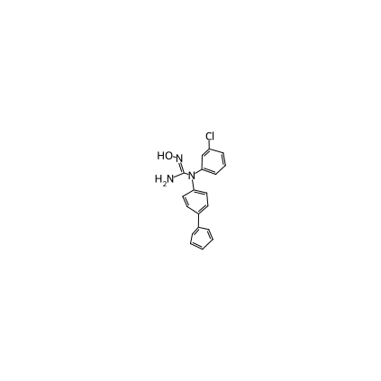 N/C(=N\O)N(c1ccc(-c2ccccc2)cc1)c1cccc(Cl)c1